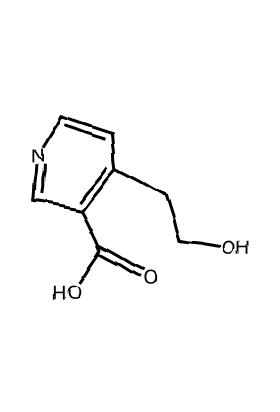 O=C(O)c1cnccc1CCO